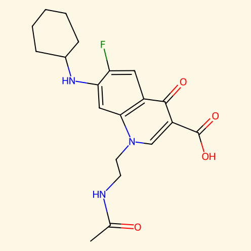 CC(=O)NCCn1cc(C(=O)O)c(=O)c2cc(F)c(NC3CCCCC3)cc21